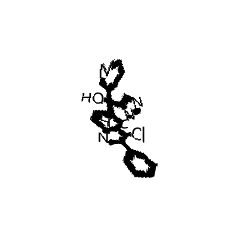 Cn1cncc1C(O)(c1cccnc1)c1ccc2ncc(-c3ccccc3)c(Cl)c2c1